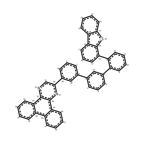 c1cc(-c2cccc(-c3ccccc3-c3cccc4c3sc3ccccc34)c2)cc(-c2cnc3c4ccccc4c4ccccc4c3n2)c1